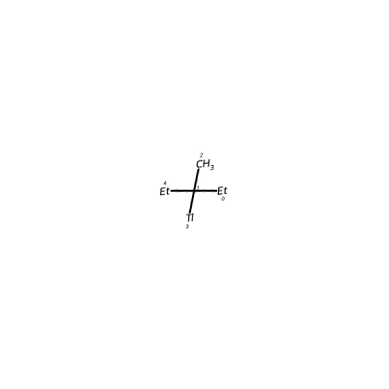 CC[C](C)([Tl])CC